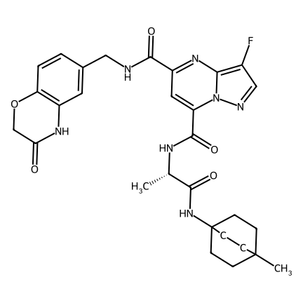 C[C@H](NC(=O)c1cc(C(=O)NCc2ccc3c(c2)NC(=O)CO3)nc2c(F)cnn12)C(=O)NC12CCC(C)(CC1)CC2